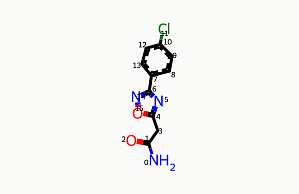 NC(=O)Cc1nc(-c2ccc(Cl)cc2)no1